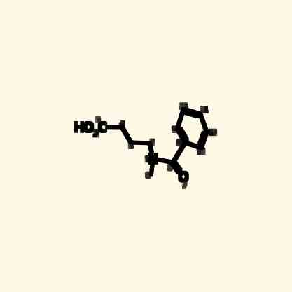 CN(CCCC(=O)O)C(=O)c1ccccc1